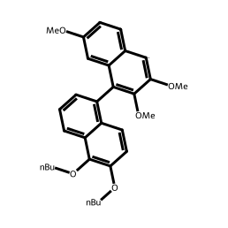 CCCCOc1ccc2c(-c3c(OC)c(OC)[c]c4ccc(OC)cc34)cccc2c1OCCCC